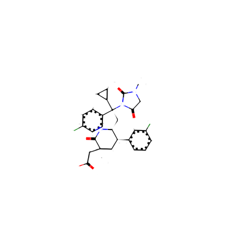 CN1CC(=O)N([C@](C[C@@H]2NC(=O)[C@](C)(CC(=O)O)C[C@@H]2c2cccc(Cl)c2)(c2ccc(Cl)cc2)C2CC2)C1=O